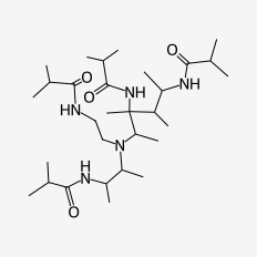 CC(C)C(=O)NCCN(C(C)C(C)NC(=O)C(C)C)C(C)C(C)(NC(=O)C(C)C)C(C)C(C)NC(=O)C(C)C